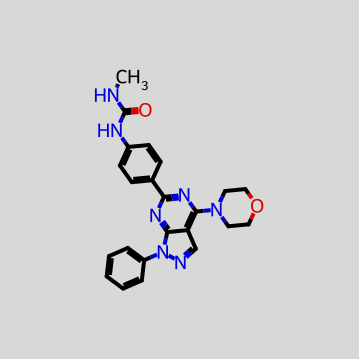 CNC(=O)Nc1ccc(-c2nc(N3CCOCC3)c3cnn(-c4ccccc4)c3n2)cc1